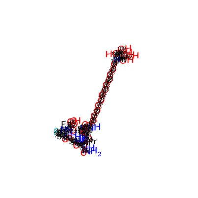 CC[C@@]1(O)C(=O)OCc2c1cc1n(c2=O)Cc2c-1nc1cc(F)c(C)c3c1c2[C@@H](NC(=O)OCc1ccc(NC(=O)[C@H](CCCNC(N)=O)NC(=O)[C@@H](NC(=O)[C@H](CCCCNC(=O)CCOCCOCCOCCOCCOCCOCCOCCOCCOCCOCCOCCOCCN(CC[C@@H](O)[C@@H](O)CO)CC[C@@H](O)[C@@H](O)CO)NC(=O)CCCCCN2C(=O)C=CC2=O)C(C)C)cc1)CC3